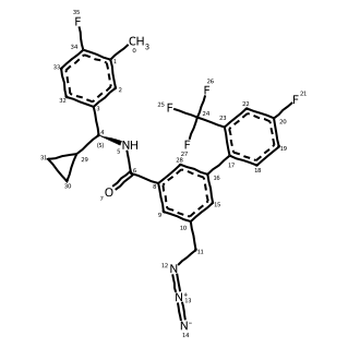 Cc1cc([C@@H](NC(=O)c2cc(CN=[N+]=[N-])cc(-c3ccc(F)cc3C(F)(F)F)c2)C2CC2)ccc1F